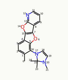 Cc1ccc2c(oc3c4cccnc4oc23)c1N1C=CN(C)C1(C)C